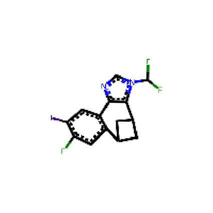 Fc1cc2c(cc1I)-c1ncn(C(F)F)c1C1CC2C1